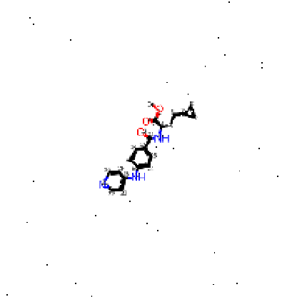 COC(=O)C(CCC1CC1)NC(=O)c1ccc(Nc2ccncc2)cc1